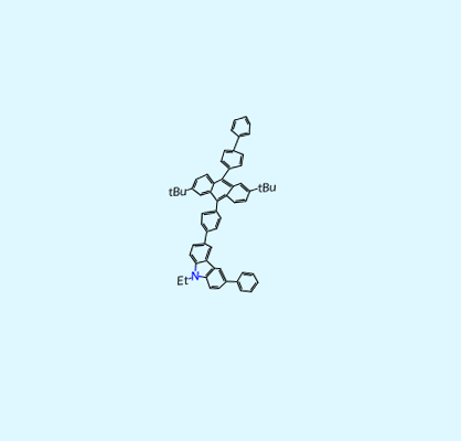 CCn1c2ccc(-c3ccccc3)cc2c2cc(-c3ccc(-c4c5ccc(C(C)(C)C)cc5c(-c5ccc(-c6ccccc6)cc5)c5ccc(C(C)(C)C)cc45)cc3)ccc21